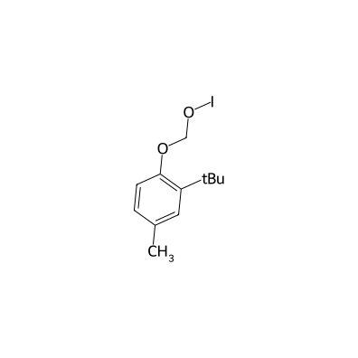 Cc1ccc(OCOI)c(C(C)(C)C)c1